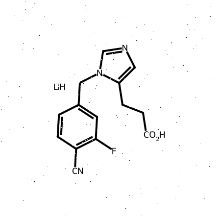 N#Cc1ccc(Cn2cncc2CCC(=O)O)cc1F.[LiH]